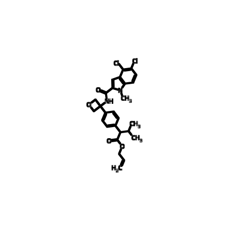 C=CCOC(=O)C(c1ccc(C2(NC(=O)c3cc4c(Cl)c(Cl)ccc4n3C)COC2)cc1)C(C)C